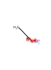 CCCCCCCCCCCCCCCCCCC(COC[C@@H](O)COP(=O)(O)OC[C@H](N)C(=O)O)OC